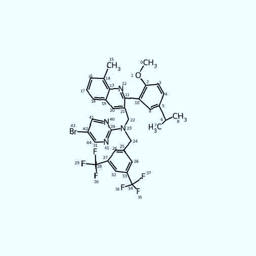 COc1ccc(C(C)C)cc1-c1nc2c(C)cccc2cc1CN(Cc1cc(C(F)(F)F)cc(C(F)(F)F)c1)c1ncc(Br)cn1